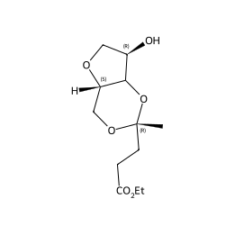 CCOC(=O)CC[C@]1(C)OC[C@@H]2OC[C@@H](O)C2O1